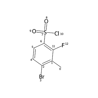 Cc1c(Br)ccc(S(=O)(=O)Cl)c1F